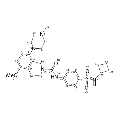 COc1ccc(N2CCN(C)CC2)c2c1CCN(C(=O)Nc1ccc(S(=O)(=O)NC3CCC3)cc1)C2